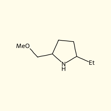 CCC1CCC(COC)N1